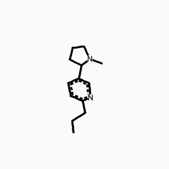 CCCc1ccc(C2CCCN2C)cn1